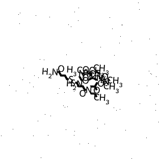 CC1CN(C(=O)CCCSSCCCC(N)=O)CC(COP(=O)(N(C)C)N2CC(C)OC(COP(=O)(N(C)C)N(C)CC(N)=O)C2)O1